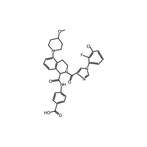 COC1CCN(c2cccc3c2CCN(C(=O)c2cn(-c4cccc(Cl)c4F)cn2)C3C(=O)Nc2ccc(C(=O)O)cc2)CC1